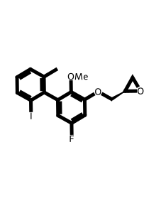 COc1c(OC[C@H]2CO2)cc(F)cc1-c1c(C)cccc1I